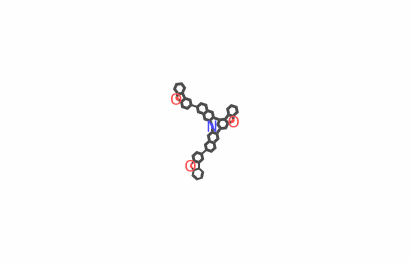 C1=CC2Oc3ccc(-c4ccc5cc6c7cc8oc9ccccc9c8c8c9cc%10ccc(-c%11ccc%12oc%13ccccc%13c%12c%11)cc%10cc9n(c6cc5c4)c78)cc3C2C=C1